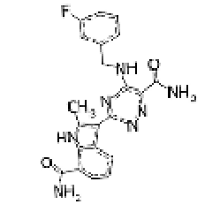 Cc1[nH]c2c(C(N)=O)cccc2c1-c1nnc(C(N)=O)c(NCc2cccc(F)c2)n1